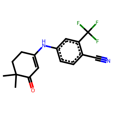 CC1(C)CCC(Nc2ccc(C#N)c(C(F)(F)F)c2)=CC1=O